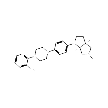 CN1C[C@H]2CCN(c3ccc(N4CCN(c5ncccc5C#N)CC4)cc3)[C@H]2C1